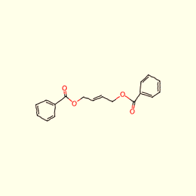 O=C(OCC=CCOC(=O)c1ccccc1)c1ccccc1